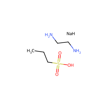 CCCS(=O)(=O)O.NCCN.[NaH]